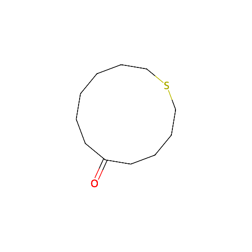 O=C1CCCCCCSCCCC1